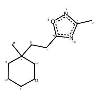 Cc1noc(CCC2(C)CCCCC2)n1